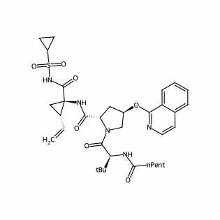 C=C[C@@H]1C[C@]1(NC(=O)[C@@H]1C[C@@H](Oc2nccc3ccccc23)CN1C(=O)[C@@H](NC(=O)CCCCC)C(C)(C)C)C(=O)NS(=O)(=O)C1CC1